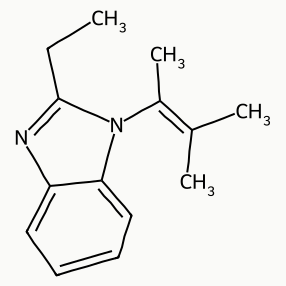 CCc1nc2ccccc2n1C(C)=C(C)C